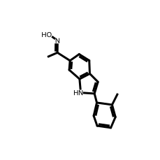 C/C(=N\O)c1ccc2cc(-c3ccccc3C)[nH]c2c1